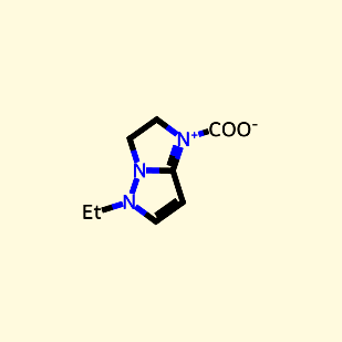 CCN1C=CC2=[N+](C(=O)[O-])CCN21